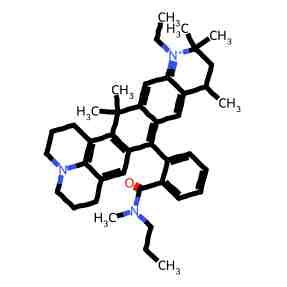 CCCN(C)C(=O)c1ccccc1C1=c2cc3c(cc2C(C)(C)c2c1cc1c4c2CCCN4CCC1)=[N+](CC)C(C)(C)CC3C